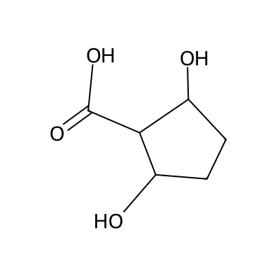 O=C(O)C1C(O)CCC1O